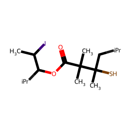 CC(C)CC(C)(S)C(C)(C)C(=O)OC(C(C)C)C(C)I